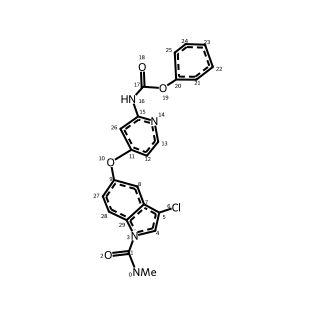 CNC(=O)n1cc(Cl)c2cc(Oc3ccnc(NC(=O)Oc4ccccc4)c3)ccc21